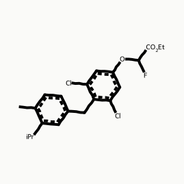 CCOC(=O)C(F)Oc1cc(Cl)c(Cc2ccc(C)c(C(C)C)c2)c(Cl)c1